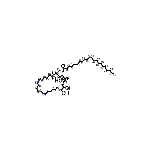 CCCCC/C=C\C/C=C\C/C=C\CCCCC(=O)O[C@H](COC(=O)CCCCCCCCC/C=C\CCCCCCCCCC)COP(=O)(O)OC[C@@H](O)CO